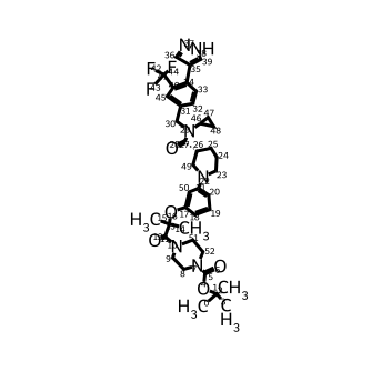 CC(C)(C)OC(=O)N1CCN(C(=O)C(C)(C)Oc2cccc(N3CCC[C@@H](C(=O)N(Cc4ccc(-c5cn[nH]c5)c(C(F)(F)F)c4)C4CC4)C3)c2)CC1